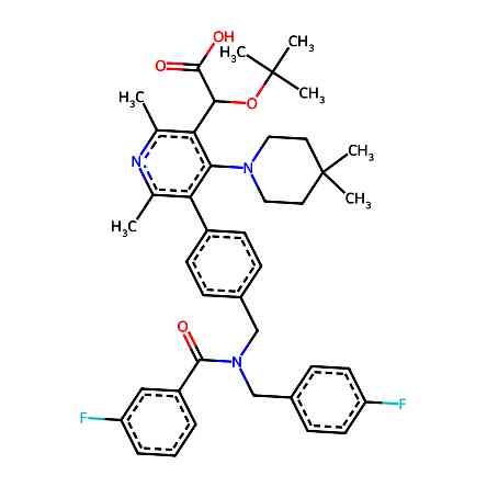 Cc1nc(C)c(C(OC(C)(C)C)C(=O)O)c(N2CCC(C)(C)CC2)c1-c1ccc(CN(Cc2ccc(F)cc2)C(=O)c2cccc(F)c2)cc1